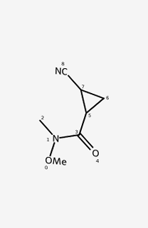 CON(C)C(=O)C1CC1C#N